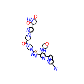 N#Cc1cnn2c(-c3cc(NC4CCOCC4)c(-c4nnc(N5CCN(C(=O)C6CCN(c7ccc([C@H]8CCC(=O)NC8=O)cn7)CC6)CC5)s4)cn3)ccc2c1